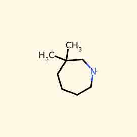 CC1(C)CCCC[N]C1